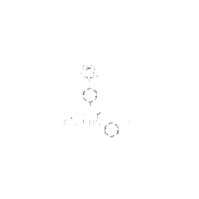 Cn1nnc(-c2ccc([C@@H](C(=O)Nc3cccc(C(F)(F)F)c3)[C@H]3CCC(F)(F)C3)cc2)n1